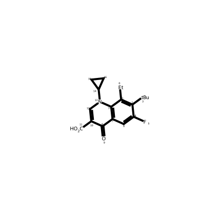 CCc1c(C(C)(C)C)c(F)cc2c(=O)c(C(=O)O)cn(C3CC3)c12